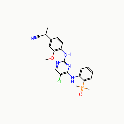 COc1cc(C(C)C#N)ccc1Nc1ncc(Cl)c(Nc2ccccc2P(C)(C)=O)n1